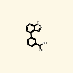 CC(O)c1cccc(-c2ccnc3[nH]ncc23)c1